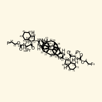 CC(C)[C@H](NC(=O)OCCF)C(=O)N1[C@H](c2nc3cc(-c4cc5ccc4CCc4ccc(c(-c6ccc7[nH]c([C@@H]8C[C@@H]9CCCC[C@@H]9N8C(=O)[C@@H](NC(=O)OCCF)C(C)C)nc7c6)c4)C[C@H]5C)ccc3[nH]2)C[C@@H]2CCCC[C@@H]21